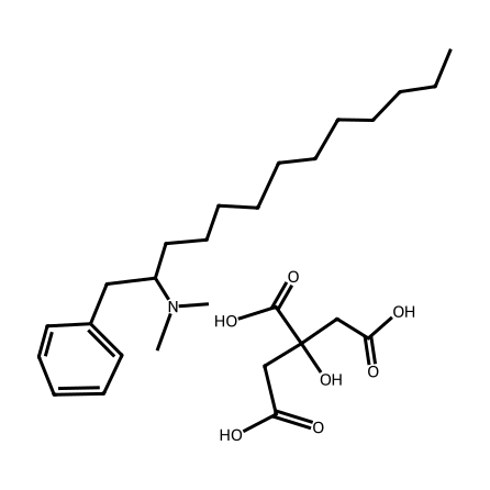 CCCCCCCCCCCC(Cc1ccccc1)N(C)C.O=C(O)CC(O)(CC(=O)O)C(=O)O